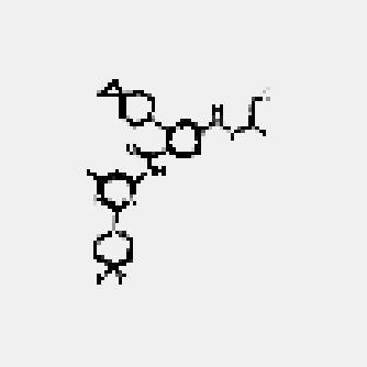 Cc1cc(NC(=O)c2ccc(NS[C@H](C)CO)cc2N2CCC3(CC2)CC3)nc(N2CCC(F)(F)CC2)n1